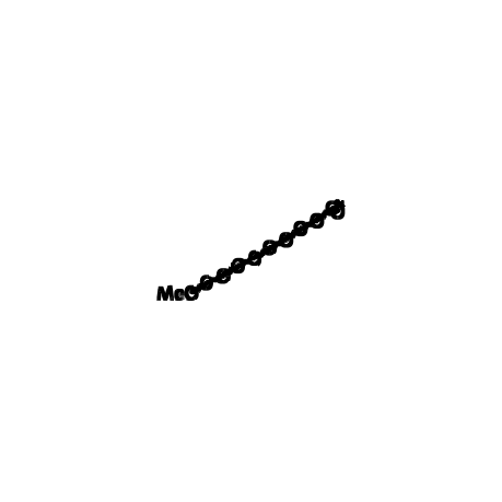 C=C(C)C(=O)OCCCCOCCCCOCCCCOCCCCOCCCCOCCCCOCCCCOCCCCOCCCCOC